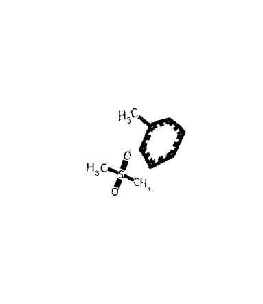 CS(C)(=O)=O.Cc1ccccc1